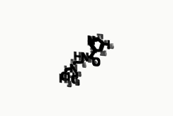 CCN(CC)CCNC(=O)c1cncc(I)c1